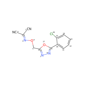 N#CC(C#N)=NOCc1nnc(-c2ccccc2Cl)o1